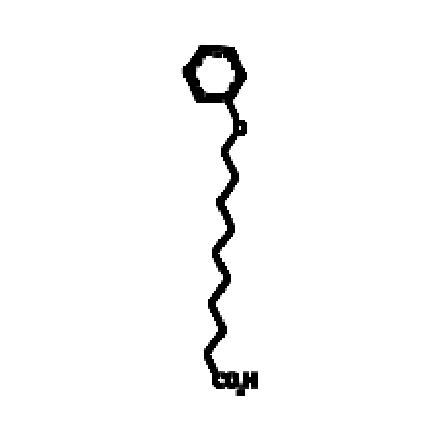 O=C(O)CCCCCCCCCOc1ccccc1